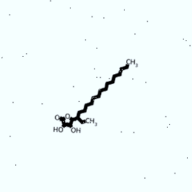 CCCCCCCCCCCCCCCC(CC)C1OC(=O)C(O)=C1O